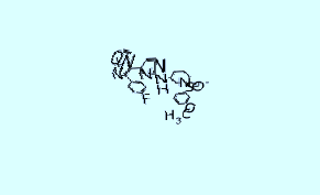 COc1cccc([S+]([O-])N2CCC[C@@H](Nc3nccc(-c4c(-c5ccc(F)cc5)nc5occn45)n3)C2)c1